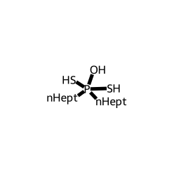 CCCCCCCP(O)(S)(S)CCCCCCC